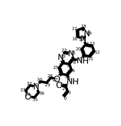 C=CC(=O)Nc1cc2c(Nc3cccc(-n4cccn4)c3)ncnc2cc1OCCCN1CCOCC1